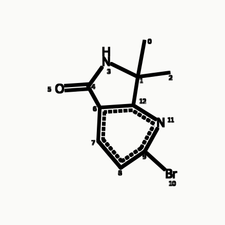 CC1(C)NC(=O)c2ccc(Br)nc21